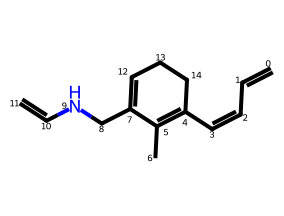 C=C/C=C\C1=C(C)C(CNC=C)=CCC1